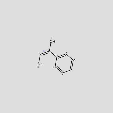 O/C(=C/S)c1ccccc1